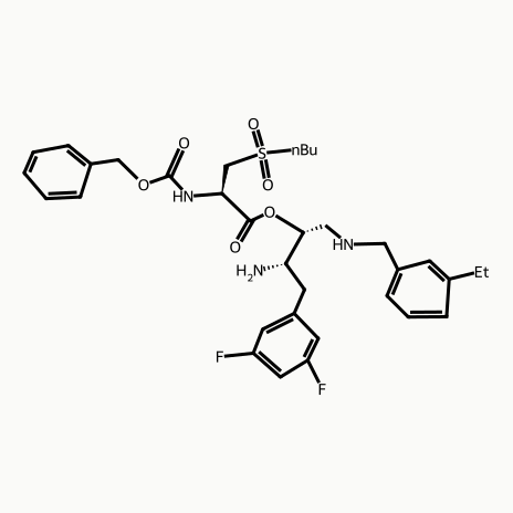 CCCCS(=O)(=O)C[C@H](NC(=O)OCc1ccccc1)C(=O)O[C@H](CNCc1cccc(CC)c1)[C@@H](N)Cc1cc(F)cc(F)c1